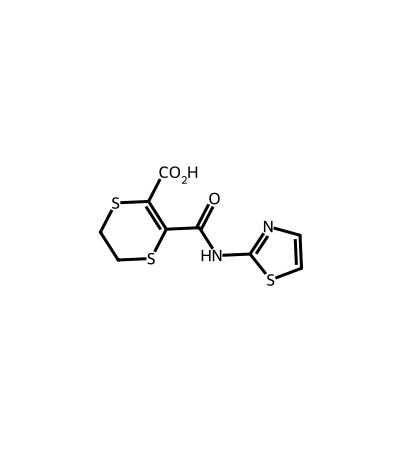 O=C(O)C1=C(C(=O)Nc2nccs2)SCCS1